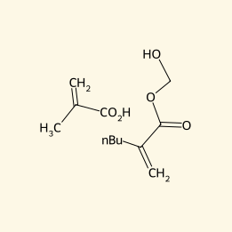 C=C(C)C(=O)O.C=C(CCCC)C(=O)OCO